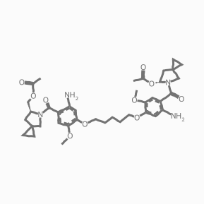 COc1cc(C(=O)N2CC3(CC3)C[C@H]2COC(C)=O)c(N)cc1OCCCCCOc1cc(N)c(C(=O)N2CC3(CC3)C[C@H]2OC(C)=O)cc1OC